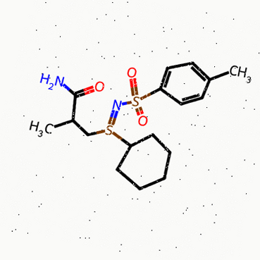 Cc1ccc(S(=O)(=O)N=S(CC(C)C(N)=O)C2CCCCC2)cc1